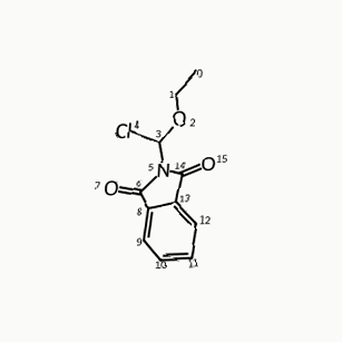 CCOC(Cl)N1C(=O)c2ccccc2C1=O